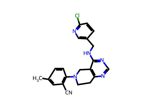 Cc1ccc(N2CCc3ncnc(NCc4ccc(Cl)nc4)c3C2)c(C#N)c1